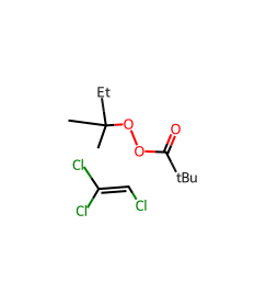 CCC(C)(C)OOC(=O)C(C)(C)C.ClC=C(Cl)Cl